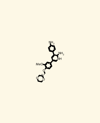 COc1cc(C2=CNC(N)C(c3ccc(N)cc3)=C2)ccc1OC[C@H]1COCCO1